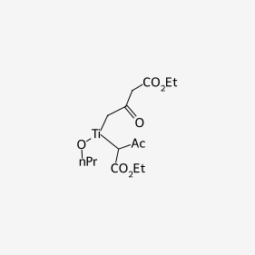 CCC[O][Ti]([CH2]C(=O)CC(=O)OCC)[CH](C(C)=O)C(=O)OCC